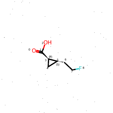 O=C(O)[C@@H]1C[C@H]1CCF